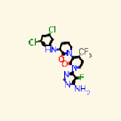 Nc1ncnc(N2CCC(C(F)(F)F)C(N3CCCC(Nc4cc(Cl)cc(Cl)c4)C3=O)C2=O)c1F